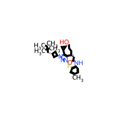 Cc1ccc(NC(=O)C[C@H](CCCO)c2nnn([C@H]3C[C@@H](CC(C)(C)C(C)C)C3)c2C2CC2)c(F)c1